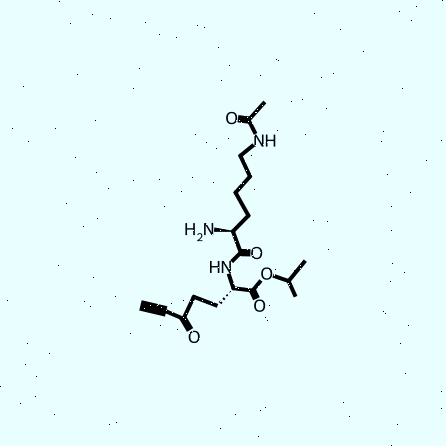 C#CC(=O)CC[C@H](NC(=O)[C@@H](N)CCCCNC(C)=O)C(=O)OC(C)C